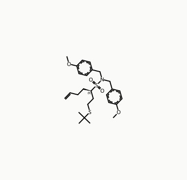 C=CCC[C@H](CCSC(C)(C)C)S(=O)(=O)N(Cc1ccc(OC)cc1)Cc1ccc(OC)cc1